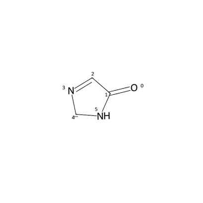 O=C1C=N[C]N1